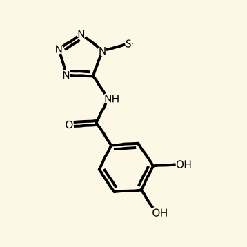 O=C(Nc1nnnn1[S])c1ccc(O)c(O)c1